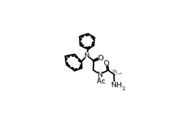 CC(=O)N(CC(=O)N(c1ccccc1)c1ccccc1)C(=O)[C@H](C)N